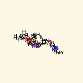 CCCc1cnc(N2CCC(Oc3nc4ccc(C5=CC(S(=O)(=O)CCC(C)(C)OP(=O)(OCC[Si](C)(C)C)OCC[Si](C)(C)C)NCC5)cc4s3)CC2)nc1